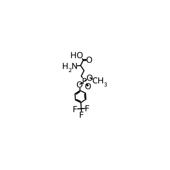 COP(=O)(CCC(N)C(=O)O)Oc1ccc(C(F)(F)F)cc1